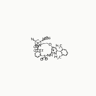 CCC(=O)N1C[C@H]2C[C@@H](C1)[C@H]2N1C(=O)c2cccc(c2)S(=O)(=O)Nc2nc(cc(-c3c(C)cccc3C)n2)OC[C@H]1CC(C)(C)C